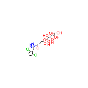 O=C(CCCC(=O)n1nnnc1Cc1c(Cl)cccc1Cl)OC(O)[C@@H](O)[C@@H](O)[C@H](O)[C@H](O)CO